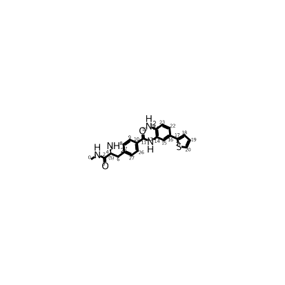 CNC(=O)[C@@H](N)Cc1ccc(C(=O)Nc2cc(-c3cccs3)ccc2N)cc1